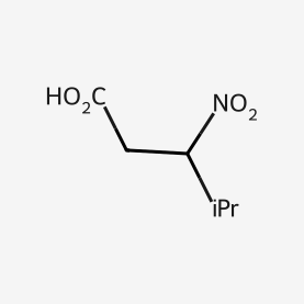 CC(C)C(CC(=O)O)[N+](=O)[O-]